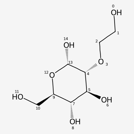 OCCO[C@@H]1[C@@H](O)[C@H](O)[C@@H](CO)O[C@@H]1O